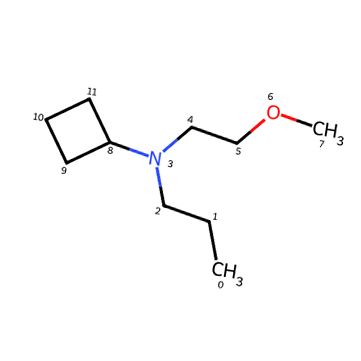 CCCN(CCOC)C1CCC1